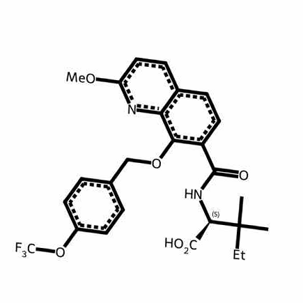 CCC(C)(C)[C@H](NC(=O)c1ccc2ccc(OC)nc2c1OCc1ccc(OC(F)(F)F)cc1)C(=O)O